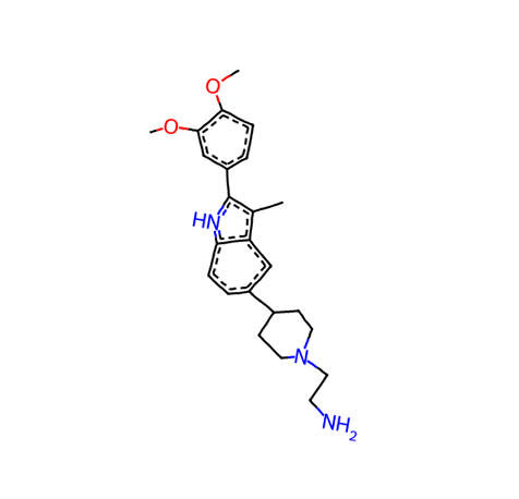 COc1ccc(-c2[nH]c3ccc(C4CCN(CCN)CC4)cc3c2C)cc1OC